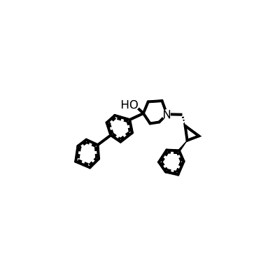 OC1(c2ccc(-c3ccccc3)cc2)CCN(C[C@@H]2C[C@H]2c2ccccc2)CC1